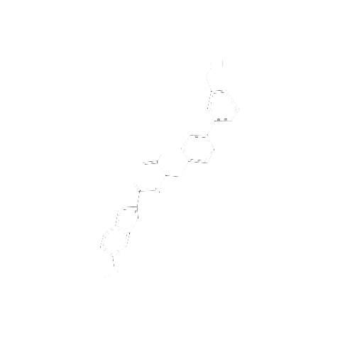 COc1ccc2oc(C(=O)NC(Cc3ccc(-c4cccc(CO)c4)cc3)C(=O)O)cc2c1